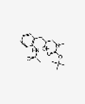 CC(=O)Nc1cnccc1CC(O)CN(C)C(=O)OC(C)(C)C